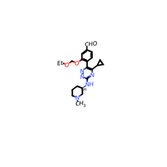 CCOCOc1cc(C=O)ccc1-c1nnc(N[C@@H]2CCCN(C)C2)nc1C1CC1